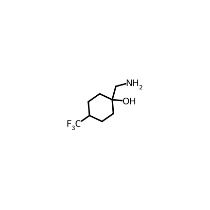 NCC1(O)CCC(C(F)(F)F)CC1